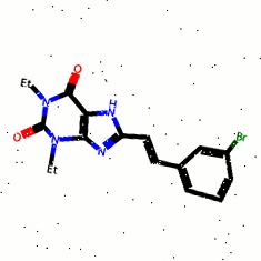 CCn1c(=O)c2[nH]c(C=Cc3cccc(Br)c3)nc2n(CC)c1=O